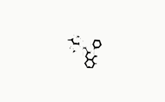 C[C@H](Nc1ncnc(Cl)c1[N+](=O)[O-])c1cc2cccc(Cl)c2c(=O)n1-c1ccccc1